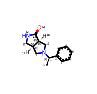 C[C@H](c1ccccc1)N1C[C@H]2CNC(=O)[C@H]2C1